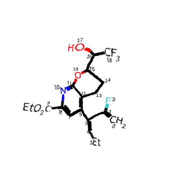 C=C(F)/C(=C\CC)c1cc(C(=O)OCC)nc2c1CCC(C(O)C(F)(F)F)O2